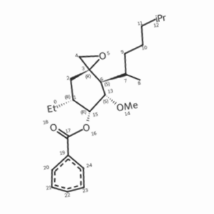 CC[C@@H]1C[C@]2(CO2)[C@@H](C(C)CCCC(C)C)[C@H](OC)[C@@H]1OC(=O)c1ccccc1